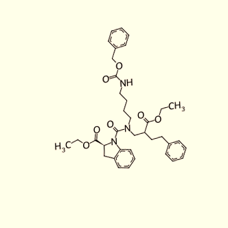 CCOC(=O)C(CCc1ccccc1)CN(CCCCNC(=O)OCc1ccccc1)C(=O)N1c2ccccc2C[C@H]1C(=O)OCC